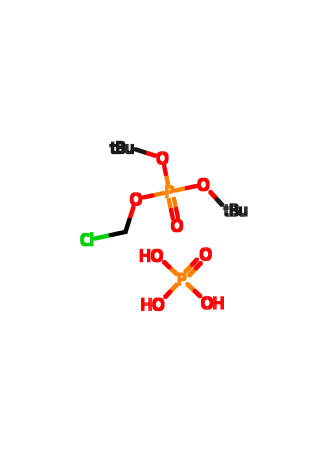 CC(C)(C)OP(=O)(OCCl)OC(C)(C)C.O=P(O)(O)O